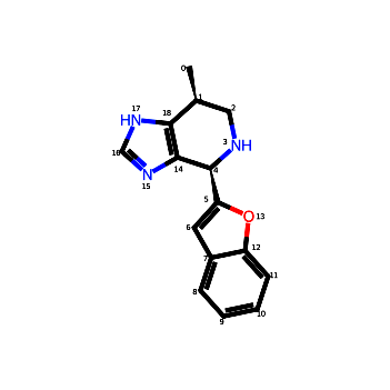 C[C@H]1CN[C@@H](c2cc3ccccc3o2)c2nc[nH]c21